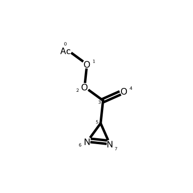 CC(=O)OOC(=O)C1N=N1